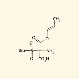 CC=COC(=O)C(N)(C(=O)O)S(=O)(=O)C(C)(C)C